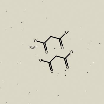 O=C([O-])CC(=O)[O-].O=C([O-])CC(=O)[O-].[Ru+4]